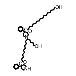 O=C(CCCCCCCCCC(CCCCO)N1CCC(OC(=O)CCCCCCCCCCCCCCCO)(c2ccccc2)CC1)OC1(c2ccccc2)CCNCC1